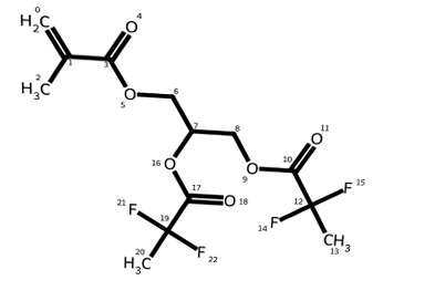 C=C(C)C(=O)OCC(COC(=O)C(C)(F)F)OC(=O)C(C)(F)F